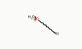 C=CC(=O)OCCCCCCCCCCC/C=C/CC